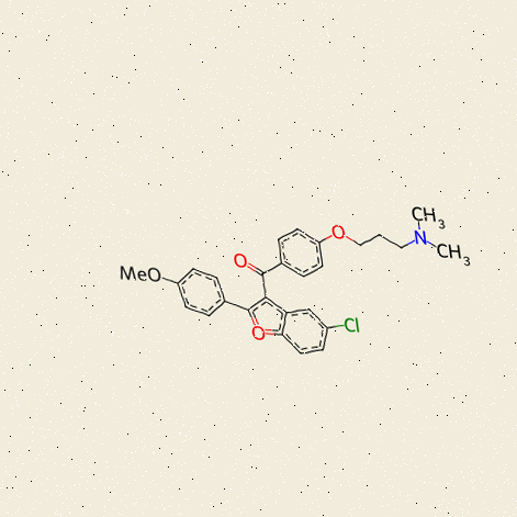 COc1ccc(-c2oc3ccc(Cl)cc3c2C(=O)c2ccc(OCCCN(C)C)cc2)cc1